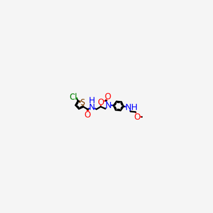 COCCNc1ccc(N2CC(CNC(=O)c3ccc(Cl)s3)OC2=O)cc1